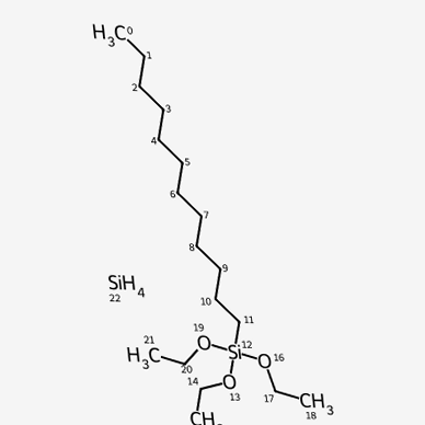 CCCCCCCCCCCC[Si](OCC)(OCC)OCC.[SiH4]